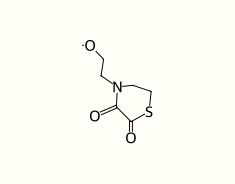 [O]CCN1CCSC(=O)C1=O